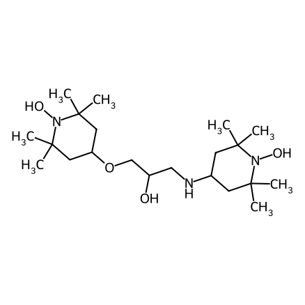 CC1(C)CC(NCC(O)COC2CC(C)(C)N(O)C(C)(C)C2)CC(C)(C)N1O